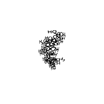 CC(=O)N[C@H]1[C@H](O[C@H]2[C@@H](O)[C@@H](CO)O[C@@H](O[C@H]3[C@H](O)[C@@H](O)[C@H](O)O[C@@H]3CO)[C@@H]2O)O[C@H](CO)[C@@H](O[C@@H]2O[C@H](CO)[C@H](O)[C@H](O[C@@H]3O[C@H](CO)[C@H](O)[C@H](O[C@]4(C(=O)O)C[C@H](O)[C@@H](NC(C)=O)[C@H]([C@H](O)[C@H](O)CO)O4)[C@H]3NC(C)=O)[C@H]2O)[C@@H]1O